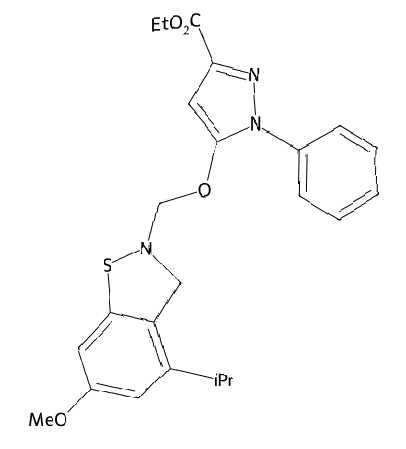 CCOC(=O)c1cc(OCN2Cc3c(cc(OC)cc3C(C)C)S2)n(-c2ccccc2)n1